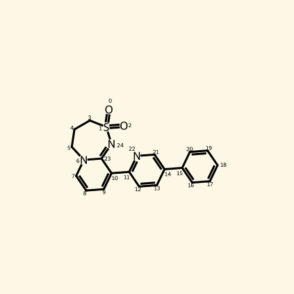 O=S1(=O)CCCN2C=CC=C(c3ccc(-c4ccccc4)cn3)C2=N1